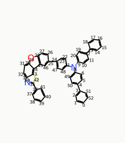 c1ccc(-c2ccc(N(c3ccc(-c4ccccc4)cc3)c3ccc(-c4ccc5oc6ccc7nc(-c8ccccc8)sc7c6c5c4)cc3)cc2)cc1